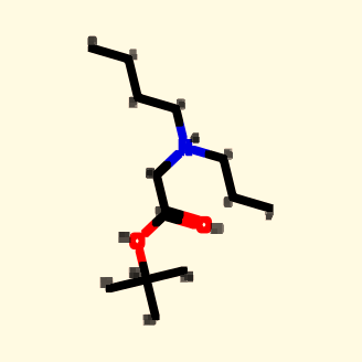 CCCCN(CCC)CC(=O)OC(C)(C)C